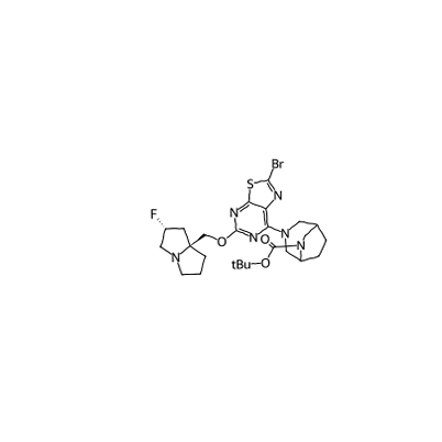 CC(C)(C)OC(=O)N1CC2CCC1CN(c1nc(OC[C@@]34CCCN3C[C@H](F)C4)nc3sc(Br)nc13)C2